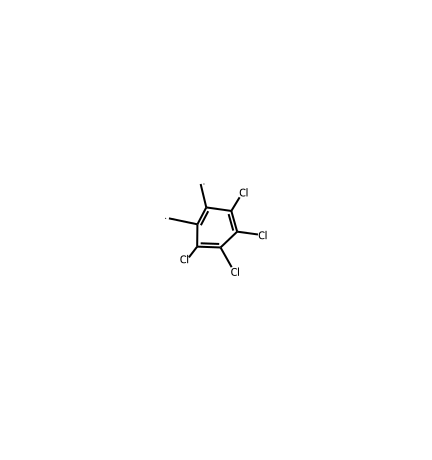 [CH2]c1c([CH2])c(Cl)c(Cl)c(Cl)c1Cl